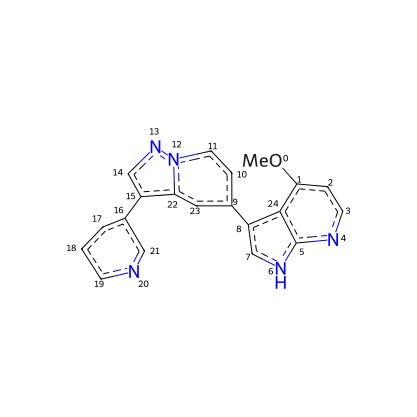 COc1ccnc2[nH]cc(-c3ccn4ncc(-c5cccnc5)c4c3)c12